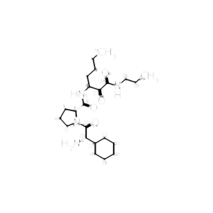 CCCCC(NC(=O)[C@@H]1CCCN1C(=O)[C@@H](N)C1CCCCC1)C(=O)C(=O)NCCC